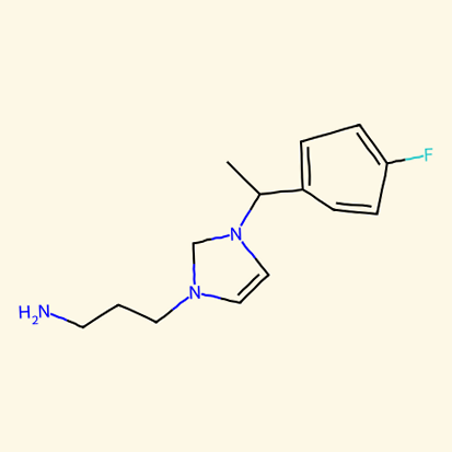 CC(c1ccc(F)cc1)N1C=CN(CCCN)C1